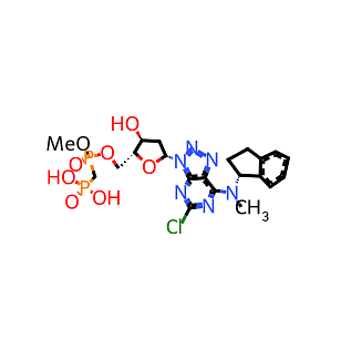 COP(=O)(CP(=O)(O)O)OC[C@H]1O[C@@H](n2nnc3c(N(C)[C@@H]4CCc5ccccc54)nc(Cl)nc32)C[C@@H]1O